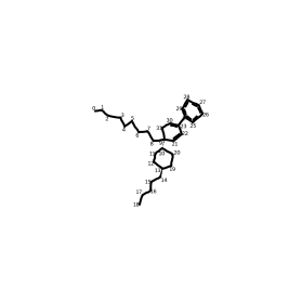 CCCCCCCCCC1([C@H]2CC[C@H](CCCCC)CC2)C=CC(c2ccccc2)=CC1